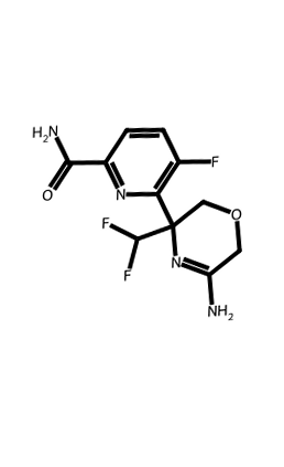 NC(=O)c1ccc(F)c(C2(C(F)F)COCC(N)=N2)n1